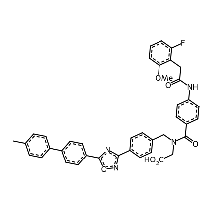 COc1cccc(F)c1CC(=O)Nc1ccc(C(=O)N(CC(=O)O)Cc2ccc(-c3noc(-c4ccc(-c5ccc(C)cc5)cc4)n3)cc2)cc1